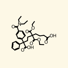 CCOC(=O)C(CCCC(=O)O)(CCC(C(=O)O)(c1ccccc1)c1ccc(C(=O)N(CC)CC)cc1)C(=O)OCC